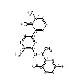 CC(Oc1cc(-c2cccn(C)c2=O)cnc1N)c1cc(F)ccc1Cl